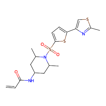 C=CC(=O)NC1CC(C)N(S(=O)(=O)c2ccc(-c3csc(C)n3)s2)C(C)C1